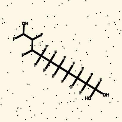 OC(F)C(F)C(F)C(F)(F)C(F)(F)C(F)(F)C(F)(F)C(F)(F)C(F)(F)C(O)(O)F